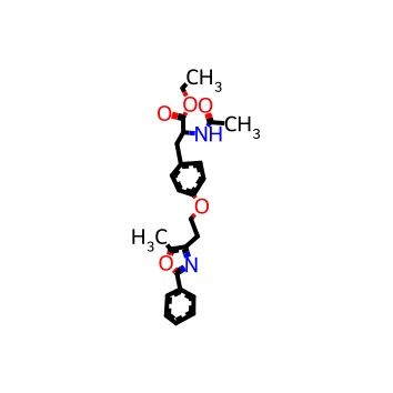 CCOC(=O)C(Cc1ccc(OCCc2nc(-c3ccccc3)oc2C)cc1)NC(C)=O